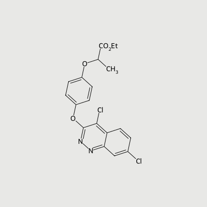 CCOC(=O)C(C)Oc1ccc(Oc2nnc3cc(Cl)ccc3c2Cl)cc1